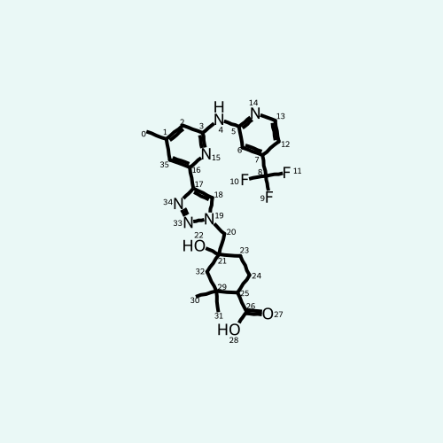 Cc1cc(Nc2cc(C(F)(F)F)ccn2)nc(-c2cn(CC3(O)CCC(C(=O)O)C(C)(C)C3)nn2)c1